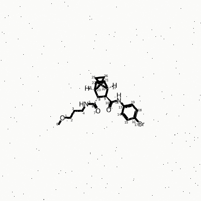 COCCCNC(=O)[C@H]1[C@H](C(=O)Nc2ccc(Br)cc2)[C@@H]2C=C[C@H]1C21CC1